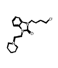 O=c1n(CCCCCl)c2ccccc2n1CCN1CCCCC1